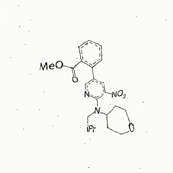 COC(=O)c1ccccc1-c1cnc(N(CC(C)C)C2CCOCC2)c([N+](=O)[O-])c1